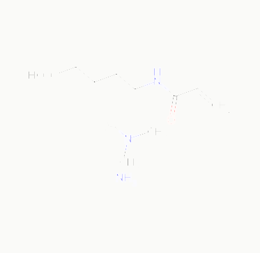 C=CC(=O)NCCCCC(=O)O.CN(C)C.N